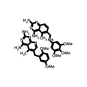 COc1cc(NCc2ccc3nc(N)nc(N)c3c2C)cc(OC)c1OC.COc1ccc(OC)c(Cc2cnc3nc(N)nc(N)c3c2C)c1